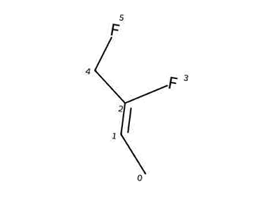 CC=C(F)CF